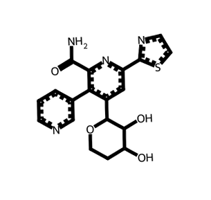 NC(=O)c1nc(-c2nccs2)cc(C2OCCC(O)C2O)c1-c1cccnc1